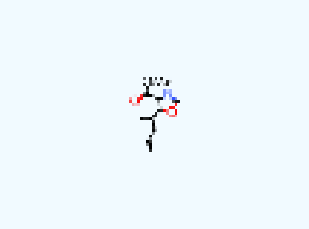 C=CCC(=C)C1OC=NC1C(=O)OC